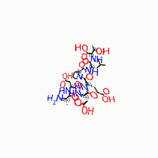 CC(C)C[C@H](NC(=O)[C@@H]1CCCN1C(=O)[C@H](CCC(=O)O)NC(=O)[C@H](CC(=O)O)NC(=O)[C@H](CC(=O)O)NC(=O)[C@H](C)N)C(=O)N[C@H](C(=O)O)[C@@H](C)O